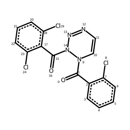 O=C(c1ccccc1Cl)N1C=CN=NN1C(=O)c1c(Cl)cccc1Cl